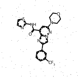 O=C(Nc1nccs1)c1cc(N2CCOCC2)nn2cc(-c3cccc(C(F)(F)F)c3)nc12